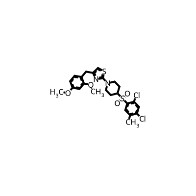 COc1ccc(Cc2csc(N3CCC(S(=O)(=O)c4cc(C)c(Cl)cc4Cl)CC3)n2)c(OC)c1